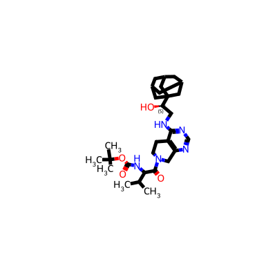 CC(C)C(NC(=O)OC(C)(C)C)C(=O)N1CCc2c(ncnc2NC[C@@H](O)C23CC4CC(CC(C4)C2)C3)C1